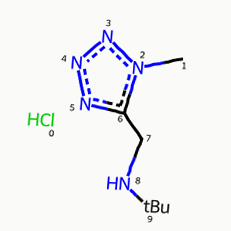 Cl.Cn1nnnc1CNC(C)(C)C